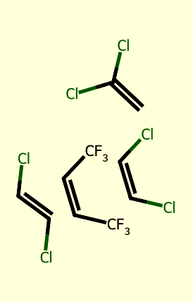 C=C(Cl)Cl.Cl/C=C\Cl.ClC=CCl.FC(F)(F)/C=C\C(F)(F)F